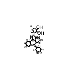 C[C@H]1O[C@@H](n2nc(-c3ccccc3)c3c(Sc4ccccc4)ncnc32)[C@H](O)[C@@H]1O